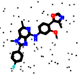 COc1cc(Nc2nc(C)cc3c2nc(-c2ccc(F)cc2)n3C)ccc1-c1ocnc1C